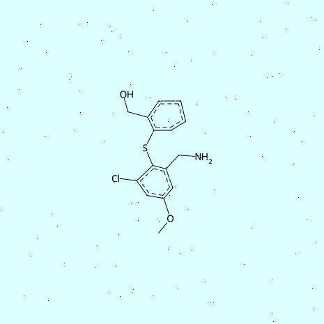 COc1cc(Cl)c(Sc2ccccc2CO)c(CN)c1